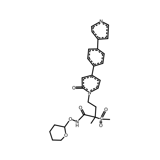 CC(CCn1ccc(-c2ccc(-c3ccncc3)cc2)cc1=O)(C(=O)NOC1CCCCO1)S(C)(=O)=O